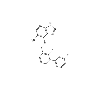 Nc1cnc2[nH]nnc2c1OCc1cccc(-c2cccc(F)c2)c1F